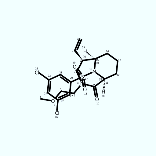 C=C[C@@H]1CN(CCOC)C(=O)[C@@H]2CCC[C@H]1N2S(=O)(=O)c1cc(Cl)cc(Cl)c1